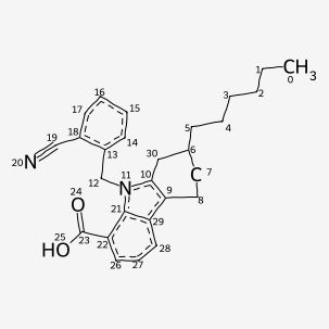 CCCCCCC1CCc2c(n(Cc3ccccc3C#N)c3c(C(=O)O)cccc23)C1